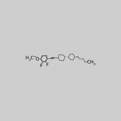 CCCCC[C@H]1CC[C@H](C2CCC(C#Cc3ccc(OCC)c(F)c3F)CC2)CC1